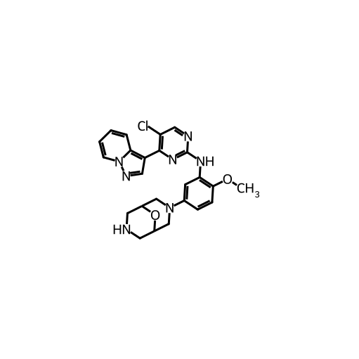 COc1ccc(N2CC3CNCC(C2)O3)cc1Nc1ncc(Cl)c(-c2cnn3ccccc23)n1